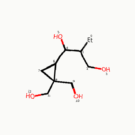 CCC(CO)C(O)C1CC1(CO)CO